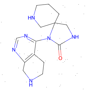 O=C1NCC2(CCCNC2)N1c1ncnc2c1CCNC2